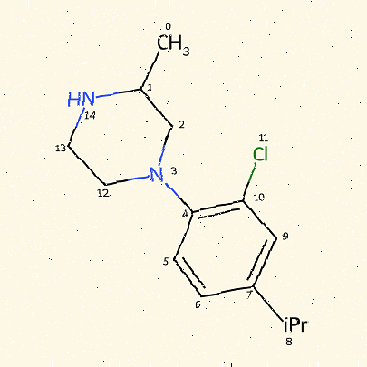 CC1CN(c2ccc(C(C)C)cc2Cl)CCN1